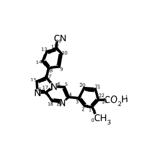 Cc1cc(-c2cn3c(-c4ccc(C#N)cc4)cnc3cn2)ccc1C(=O)O